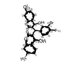 Cc1ccc2c(O)c(C(c3ccc(F)c(Br)c3)c3c(O)c4ccc(C)cc4oc3=O)c(=O)oc2c1